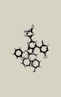 Cc1ncc(Cl)cc1-c1nc(-c2n[nH]c(=O)o2)nc2nc(N3CCOC[C@H]3c3ccccc3)n(C[C@H]3CC[C@H](C)CC3)c12